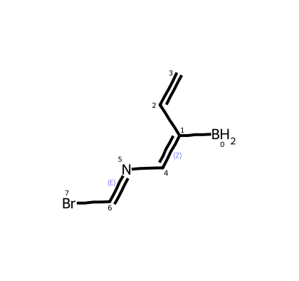 B/C(C=C)=C/N=C/Br